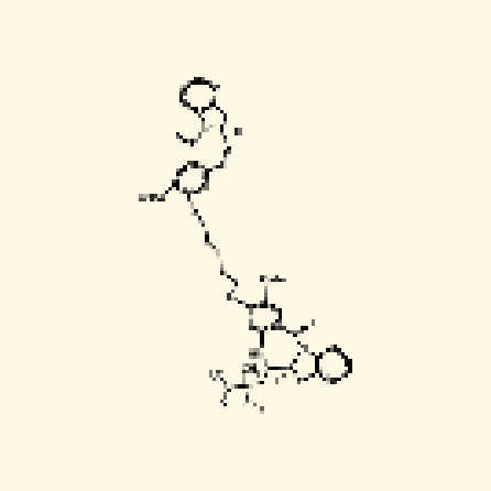 COc1cc2c(cc1OCCCCCOc1cc3c(cc1OC)C(=O)N1c4ccccc4C[C@H]1C(CC(C)(C)S(C)=S)N3)N=C[C@@H]1Cc3ccccc3N1C2=O